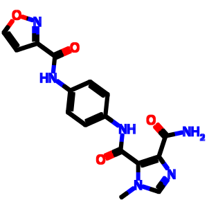 Cn1cnc(C(N)=O)c1C(=O)Nc1ccc(NC(=O)c2ccon2)cc1